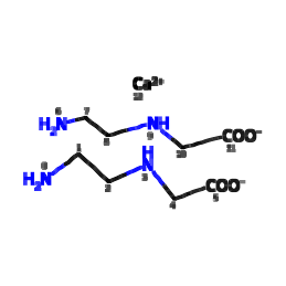 NCCNCC(=O)[O-].NCCNCC(=O)[O-].[Ca+2]